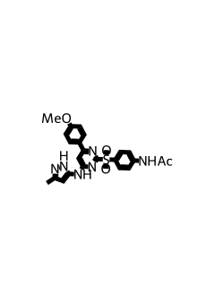 COc1ccc(-c2cc(Nc3cc(C)n[nH]3)nc(S(=O)(=O)c3ccc(NC(C)=O)cc3)n2)cc1